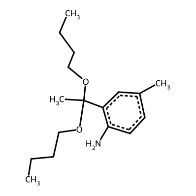 CCCCOC(C)(OCCCC)c1cc(C)ccc1N